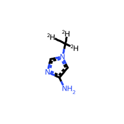 [2H]C([2H])([2H])n1cnc(N)c1